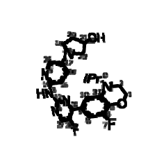 CC(C)N1CCOc2c(F)cc(-c3nc(Nc4ccc(N5CCC(O)C5)cn4)ncc3F)cc21